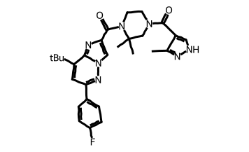 Cc1n[nH]cc1C(=O)N1CCN(C(=O)c2cn3nc(-c4ccc(F)cc4)cc(C(C)(C)C)c3n2)C(C)(C)C1